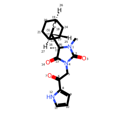 CN1C(=O)N(CC(=O)c2ccc[nH]2)C(=O)[C@@]1(C)[C@H]1C[C@H]2CC[C@@H]1CC2